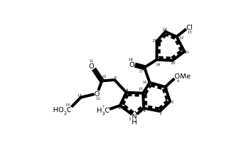 COc1ccc2[nH]c(C)c(CC(=O)OCC(=O)O)c2c1C(=O)c1ccc(Cl)cc1